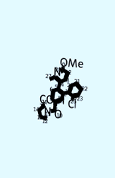 COc1ccc(-c2ccc(C(=O)N3CCCC3C(=O)O)cc2-c2ccccc2Cl)c(C)n1